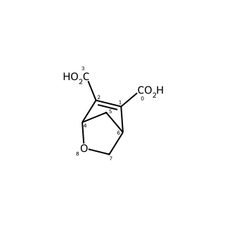 O=C(O)C1=C(C(=O)O)C2CC1CO2